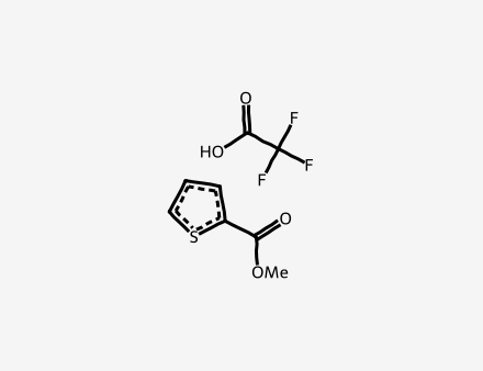 COC(=O)c1cccs1.O=C(O)C(F)(F)F